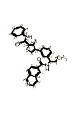 CCC(NC(=O)c1ccc2cnccc2c1)c1cccc(-c2csc(C(=O)Nc3ccccc3)c2F)c1